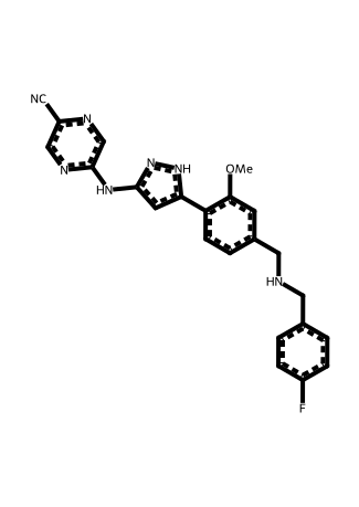 COc1cc(CNCc2ccc(F)cc2)ccc1-c1cc(Nc2cnc(C#N)cn2)n[nH]1